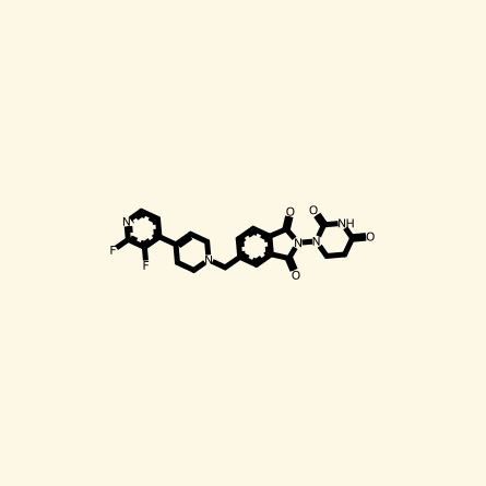 O=C1CCN(N2C(=O)c3ccc(CN4CC=C(c5ccnc(F)c5F)CC4)cc3C2=O)C(=O)N1